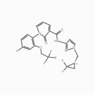 O=C(Nc1ccn(C[C@H]2CC2(F)F)n1)c1cccn(-c2ccc(F)cc2OCC(F)(F)F)c1=O